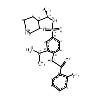 Cc1ccccc1C(=O)Nc1ccc(S(=O)(=O)N[C@H](C)C2CCNCC2)cc1N(C)C